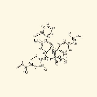 C=CC(=O)N1CCN(C2=NS(=O)(=O)N(c3ccc(CN(C)C)cc3C(C)C)c3nc(-c4ccccc4F)c(Cl)cc32)C(C)C1